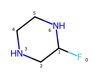 FC1CNCCN1